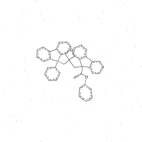 O=C(Oc1ccccc1)C1(CC2(CC3(c4ccccc4)c4ccccc4-c4ccccc43)COC2)c2ccccc2-c2ccccc21